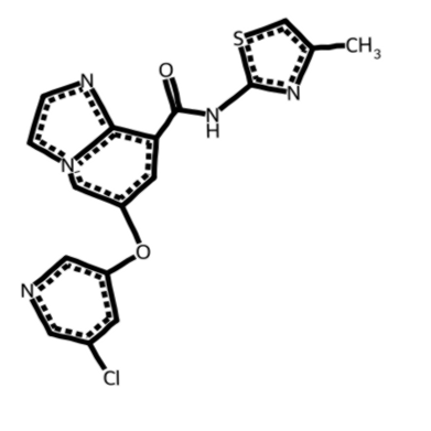 Cc1csc(NC(=O)c2cc(Oc3cncc(Cl)c3)cn3ccnc23)n1